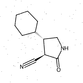 N#C[C@@H]1C(=O)NC[C@H]1C1CCCCC1